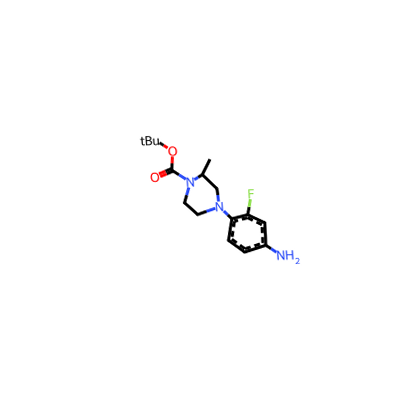 CC1CN(c2ccc(N)cc2F)CCN1C(=O)OC(C)(C)C